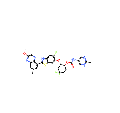 COc1cnc2c(-c3nc4cc(F)c(OC5CC(F)(F)CC[C@@H]5OC(=O)Nc5cnc(C)nc5)cc4s3)cc(C)cc2n1